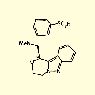 CNC[C@@H]1OCCn2nc3ccccc3c21.O=S(=O)(O)c1ccccc1